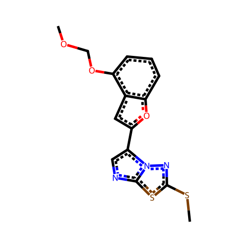 COCOc1cccc2oc(-c3cnc4sc(SC)nn34)cc12